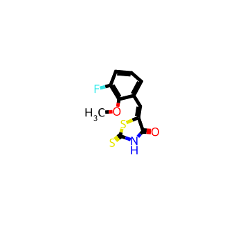 COc1c(F)cccc1/C=C1\SC(=S)NC1=O